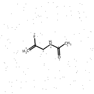 C=C(F)CNC(C)=O